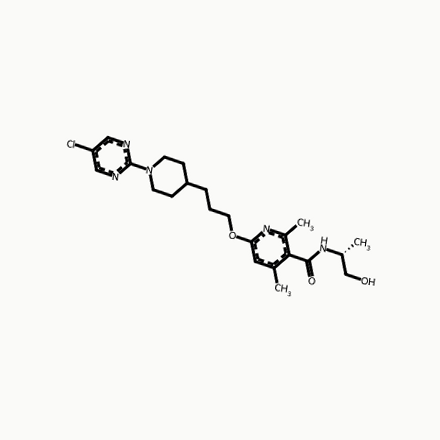 Cc1cc(OCCCC2CCN(c3ncc(Cl)cn3)CC2)nc(C)c1C(=O)N[C@H](C)CO